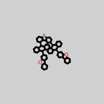 c1ccc2c(c1)oc1cc(-c3c4ccccc4c(-c4ccc5sc6cccc(-c7c8ccccc8c(-c8ccc9c(c8)oc8ccccc89)c8ccccc78)c6c5c4)c4ccccc34)ccc12